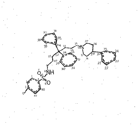 Cc1ccc(S(=O)(=O)NCCCC(CCCN2CCC(c3ccccc3)CC2)(c2ccccc2)c2ccccc2)cc1